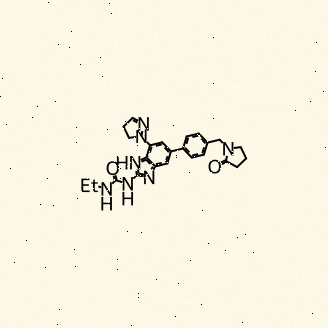 CCNC(=O)Nc1nc2cc(-c3ccc(CN4CCCC4=O)cc3)cc(N3CCC=N3)c2[nH]1